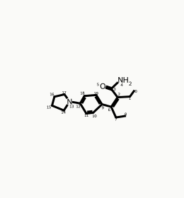 CCC(C(N)=O)=C(CC)c1ccc(N2CCCC2)cc1